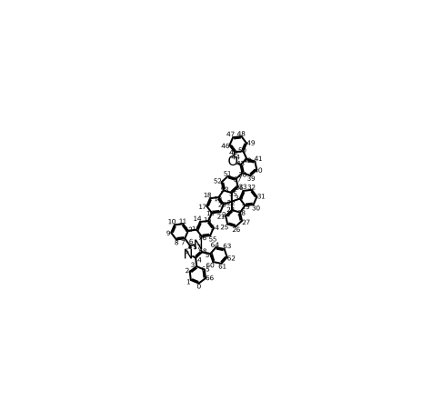 c1ccc(-c2nc3c4ccccc4c4cc(-c5ccc6c(c5)C5(c7ccccc7-c7ccccc75)c5cc(-c7cccc8c7oc7ccccc78)ccc5-6)ccc4n3c2-c2ccccc2)cc1